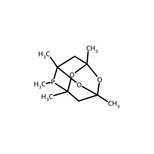 CP1C2(C)CC3(C)OC(C)(CC1(C)O3)O2